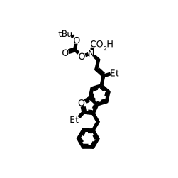 CCC(=CCN(OC(=O)OC(C)(C)C)C(=O)O)c1ccc2c(Cc3ccccc3)c(CC)oc2c1